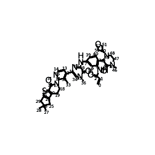 C=CC(=O)Nc1cc(Nc2nc(-c3ccnc(N4CCc5c(sc6c5CC(C)(C)C6)C4=O)c3C)cn(C)c2=O)ccc1C1C(=O)N(C)CCN1C1COC1